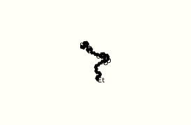 CC/C=C\C/C=C\C/C=C\C/C=C\CCCCC(=O)n1c(=O)ccc2ccc(OCCCCN3CCN(c4cccc5sccc45)CC3)cc21